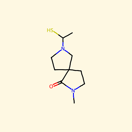 CC(S)N1CCC2(CCN(C)C2=O)C1